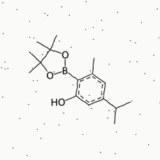 Cc1cc(C(C)C)cc(O)c1B1OC(C)(C)C(C)(C)O1